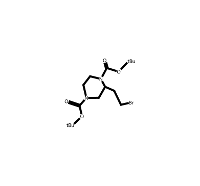 CC(C)(C)OC(=O)N1CCN(C(=O)OC(C)(C)C)C(CCBr)C1